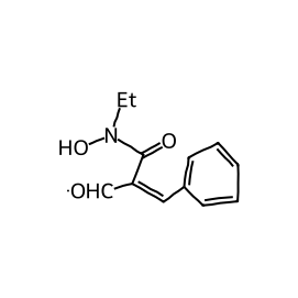 CCN(O)C(=O)C([C]=O)=Cc1ccccc1